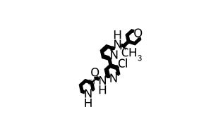 C[C@@H](Nc1cccc(-c2cc(NC(=O)[C@@H]3CCCNC3)ncc2Cl)n1)C1CCOCC1